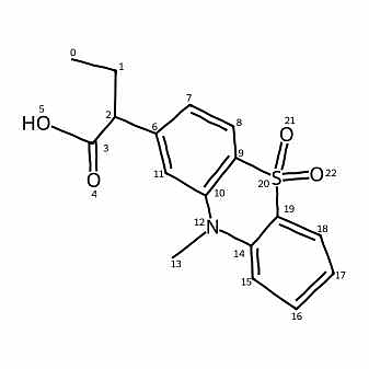 CCC(C(=O)O)c1ccc2c(c1)N(C)c1ccccc1S2(=O)=O